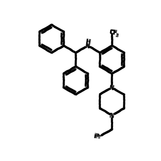 CC(C)CN1CCN(c2ccc(C(F)(F)F)c(NC(c3ccccc3)c3ccccc3)c2)CC1